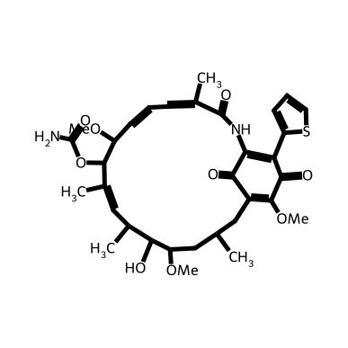 COC1=C2CC(C)CC(OC)C(O)C(C)C=C(C)C(OC(N)=O)C(OC)C=CC=C(C)C(=O)NC(=C(c3cccs3)C1=O)C2=O